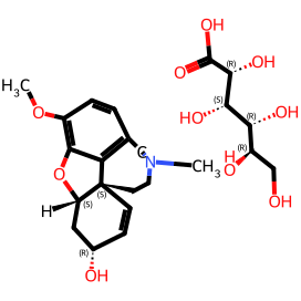 COc1ccc2c3c1O[C@H]1C[C@@H](O)C=C[C@@]31CCN(C)C2.O=C(O)[C@H](O)[C@@H](O)[C@H](O)[C@H](O)CO